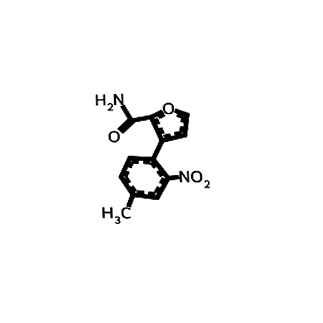 Cc1ccc(-c2ccoc2C(N)=O)c([N+](=O)[O-])c1